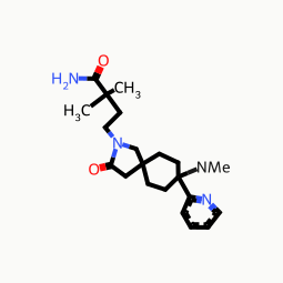 CNC1(c2ccccn2)CCC2(CC1)CC(=O)N(CCC(C)(C)C(N)=O)C2